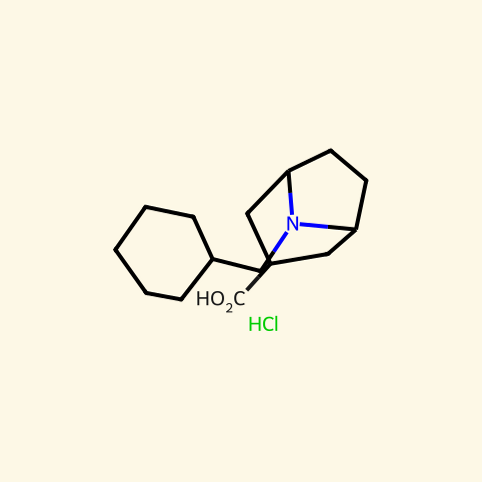 Cl.O=C(O)C1CC2CCC(C1)N2CC1CCCCC1